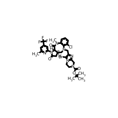 Cc1cc(C(F)(F)F)cc(N2C(=O)C[C@@H]3CN(Cc4nc5n(c4Br)CCN(C(=O)OC(C)(C)C)C5)c4c(Cl)cccc4N(C)C(=O)[C@H]32)n1